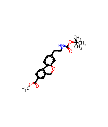 COC(=O)c1ccc2c(c1)COc1cc(CCNC(=O)OC(C)(C)C)ccc1-2